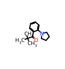 CC(C)(C)C(=O)c1ccccc1N1CCCC1